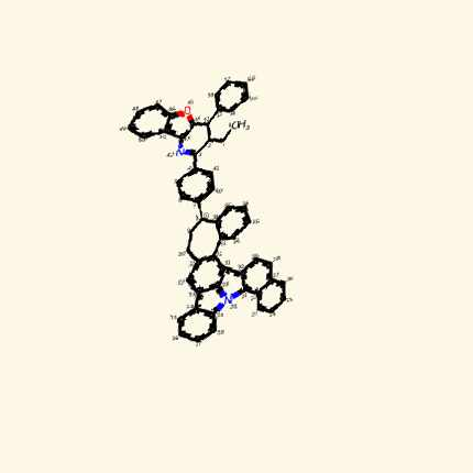 CCC1C(c2ccc([C@@H]3CCc4cc5c6ccccc6n6c7c8ccccc8ccc7c(c4-c4ccccc43)c56)cc2)=Nc2c(oc3ccccc23)C1c1ccccc1